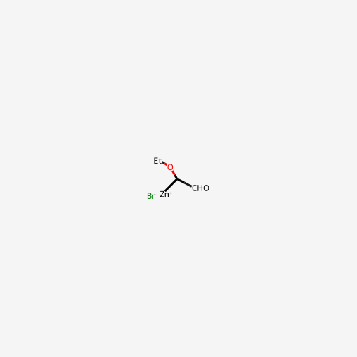 CCO[CH]([Zn+])C=O.[Br-]